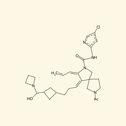 C=C/C=C1\C(=C/CCC2CC(C(O)N3CCC3)C2)C2(CCN(C(C)=O)C2)CN1C(=O)Nc1ncc(Cl)s1